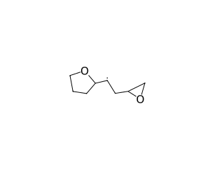 [CH](CC1CO1)C1CCCO1